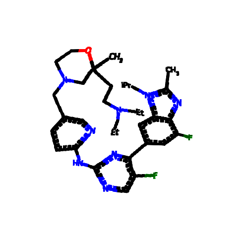 CCN(CC)CCC1(C)CN(Cc2ccc(Nc3ncc(F)c(-c4cc(F)c5nc(C)n(C(C)C)c5c4)n3)nc2)CCO1